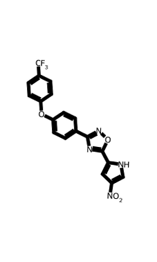 O=[N+]([O-])c1c[nH]c(-c2nc(-c3ccc(Oc4ccc(C(F)(F)F)cc4)cc3)no2)c1